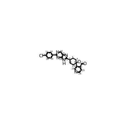 O=C1OC2(CCC(c3nc4cnc(-c5ccc(Cl)cc5)nc4[nH]3)CC2)c2cnccc21